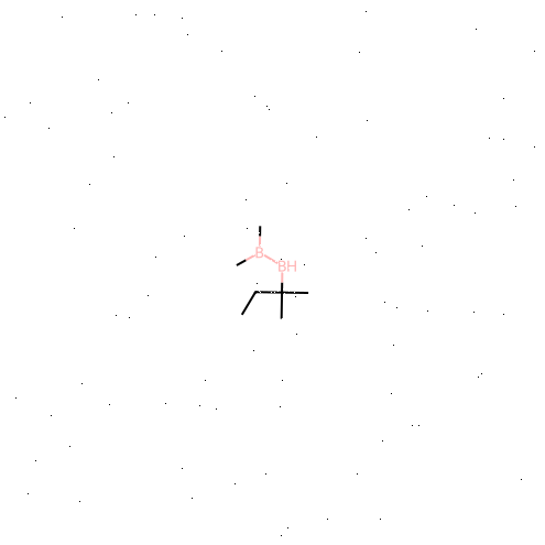 CCC(C)(C)BB(C)C